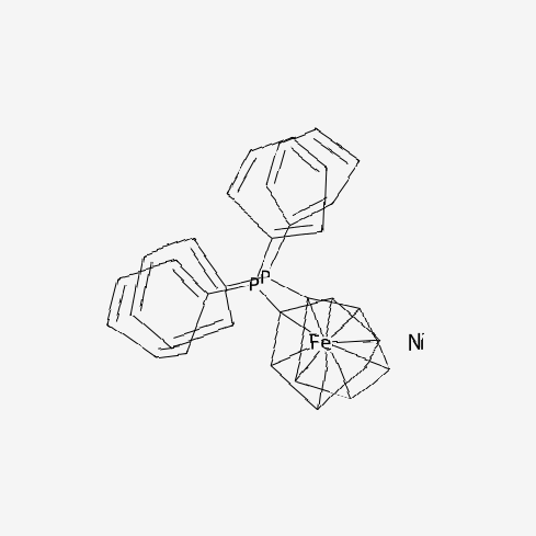 [Ni].c1ccc(P(c2ccccc2)[C]23[CH]4[CH]5[CH]6[CH]2[Fe]56432789[CH]3[CH]2[CH]7[C]8(P(c2ccccc2)c2ccccc2)[CH]39)cc1